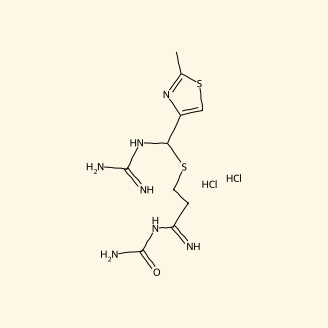 Cc1nc(C(NC(=N)N)SCCC(=N)NC(N)=O)cs1.Cl.Cl